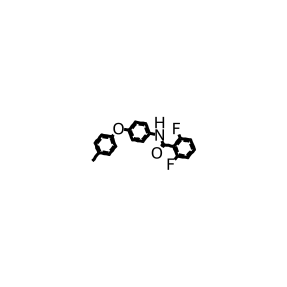 Cc1ccc(Oc2ccc(NC(=O)c3c(F)cccc3F)cc2)cc1